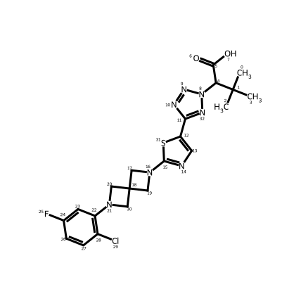 CC(C)(C)C(C(=O)O)n1nnc(-c2cnc(N3CC4(C3)CN(c3cc(F)ccc3Cl)C4)s2)n1